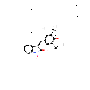 CON1C(=O)C(=Cc2cc(C(C)(C)C)c(O)c(C(C)(C)C)c2)c2ccccc21